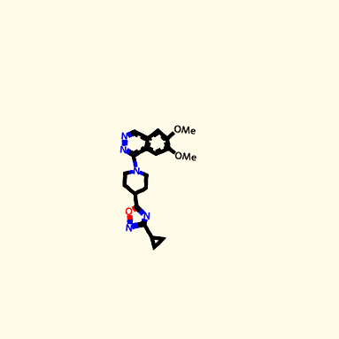 COc1cc2cnnc(N3CCC(c4nc(C5CC5)no4)CC3)c2cc1OC